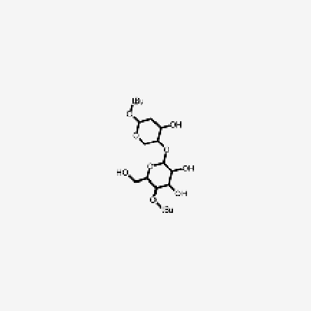 CC(C)(C)OC1CC(O)C(OC2OC(CO)C(OC(C)(C)C)C(O)C2O)CO1